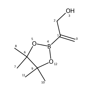 C=C(CO)B1OC(C)(C)C(C)(C)O1